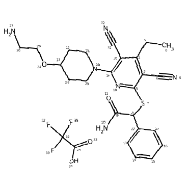 CCc1c(C#N)c(SC(C(N)=O)c2ccccc2)nc(N2CCC(OCCN)CC2)c1C#N.O=C(O)C(F)(F)F